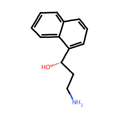 NCC[C@H](O)c1cccc2ccccc12